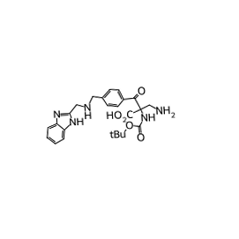 CC(C)(C)OC(=O)NC(CN)(C(=O)O)C(=O)c1ccc(CNCc2nc3ccccc3[nH]2)cc1